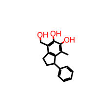 Cc1c(O)c(O)c(CO)c2c1C(c1ccccc1)CC2